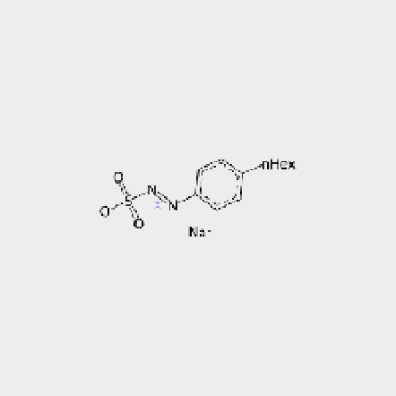 CCCCCCc1ccc(/N=N/S(=O)(=O)[O-])cc1.[Na+]